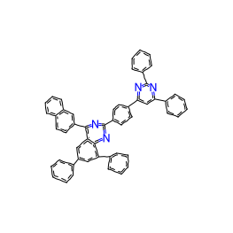 c1ccc(-c2cc(-c3ccccc3)c3nc(-c4ccc(-c5cc(-c6ccccc6)nc(-c6ccccc6)n5)cc4)nc(-c4ccc5ccccc5c4)c3c2)cc1